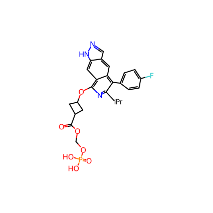 CC(C)c1nc(OC2CC(C(=O)OCOP(=O)(O)O)C2)c2cc3[nH]ncc3cc2c1-c1ccc(F)cc1